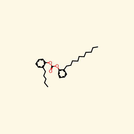 CCCCCCCCCCc1ccccc1OC(=O)Oc1ccccc1CCCCC